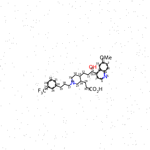 COc1ccc2nccc([C@@H](O)CCC3CCN(CCCc4cccc(C(F)(F)F)c4)CC3CCC(=O)O)c2c1